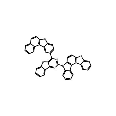 c1ccc2c(c1)ccc1oc3ccc(-c4nc(-n5c6ccccc6c6c7c(ccc65)sc5ccccc57)nc5c4oc4ccccc45)cc3c12